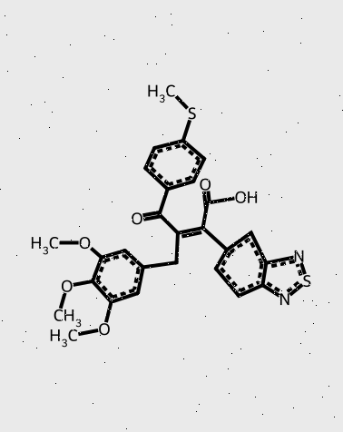 COc1cc(CC(C(=O)c2ccc(SC)cc2)=C(C(=O)O)c2ccc3nsnc3c2)cc(OC)c1OC